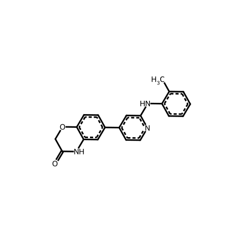 Cc1ccccc1Nc1cc(-c2ccc3c(c2)NC(=O)CO3)ccn1